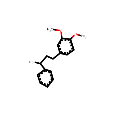 [CH2]C(CCc1ccc(OC)c(OC)c1)c1ccccc1